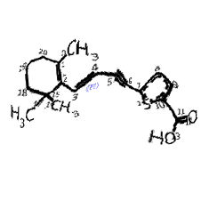 CC1=C(/C=C/C#Cc2ccc(C(=O)O)s2)C(C)(C)CCC1